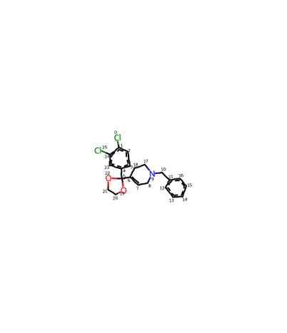 Clc1ccc(C2(C3=CCN(Cc4ccccc4)CC3)OCCO2)cc1Cl